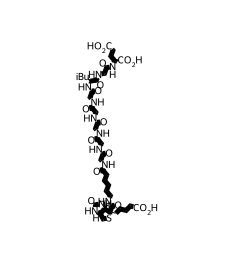 CC[C@H](C)[C@H](NC(=O)CNC(=O)CNC(=O)CNC(=O)CNC(=O)CNC(=O)CCCCCNC(=O)[C@@]1(CCCCC(=O)O)SC[C@@H]2NC(=O)N[C@@H]21)C(=O)NCC(=O)N[C@@H](CCC(=O)O)C(=O)O